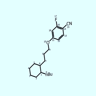 CCCCC1CCCCC1CCCOc1ccc(C#N)c(F)c1